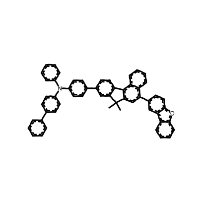 CC1(C)c2cc(-c3ccc(N(c4ccccc4)c4ccc(-c5ccccc5)cc4)cc3)ccc2-c2c1cc(-c1ccc3oc4ccccc4c3c1)c1ccccc21